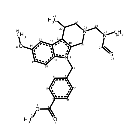 COC(=O)c1ccc(Cn2c3c(c4cc(OC)ccc42)C(C)CN(CN(C)C=S)C3)cc1